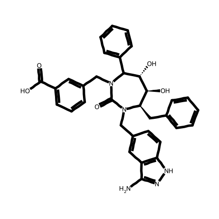 Nc1n[nH]c2ccc(CN3C(=O)N(Cc4cccc(C(=O)O)c4)C(c4ccccc4)[C@H](O)[C@@H](O)[C@H]3Cc3ccccc3)cc12